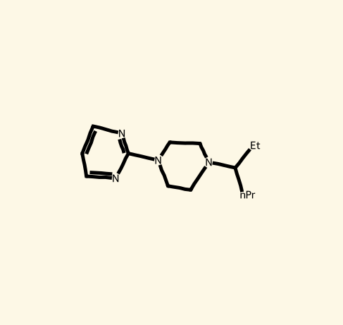 CCCC(CC)N1CCN(c2ncccn2)CC1